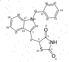 O=C1NC(=O)C(Cc2cn(Cc3ccccc3)c3ccccc23)S1